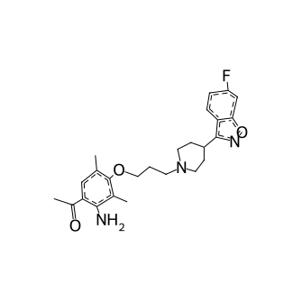 CC(=O)c1cc(C)c(OCCCN2CCC(c3noc4cc(F)ccc34)CC2)c(C)c1N